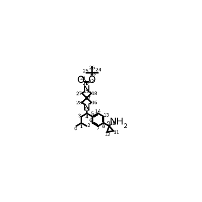 CC(C)CC(c1ccc(C2(N)CC2)cc1)N1CC2(CN(C(=O)OC(C)(C)C)C2)C1